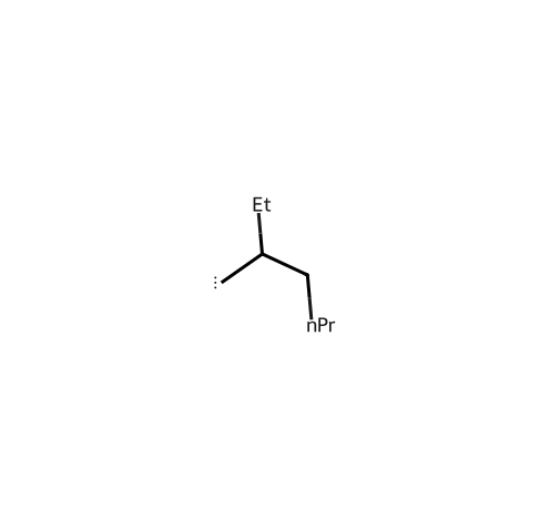 [C]C(CC)CCCC